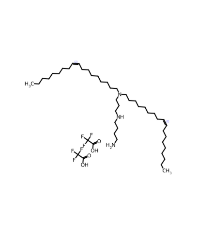 CCCCCCCC/C=C\CCCCCCCCN(CCCCCCCC/C=C\CCCCCCCC)CCCNCCCCN.O=C(O)C(F)(F)F.O=C(O)C(F)(F)F